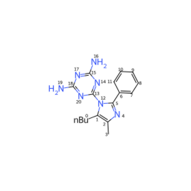 CCCCc1c(C)nc(-c2ccccc2)n1-c1nc(N)nc(N)n1